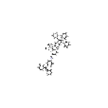 CC1(C)c2cc(/C=C/c3ccc(N(c4ccccc4)c4ccccc4)cc3)ccc2-c2cc3c(-c4ccccc4)c(-c4ccccc4)n(-c4ccccc4)c3cc21